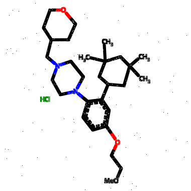 COCCOc1ccc(N2CCN(CC3CCOCC3)CC2)c(C2CC(C)(C)CC(C)(C)C2)c1.Cl